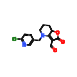 O=CC1=C2C(CCCN2Cc2ccc(Cl)nc2)OC1=O